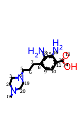 CN1CCN(CCCc2ccc(C(=O)O)c(N)c2N)CC1